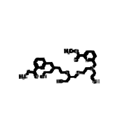 COC(=O)c1cccc(CN(CCO)CCOC[C@@H](CO)OCCN(CCO)Cc2cccc(C(=O)OC)n2)n1